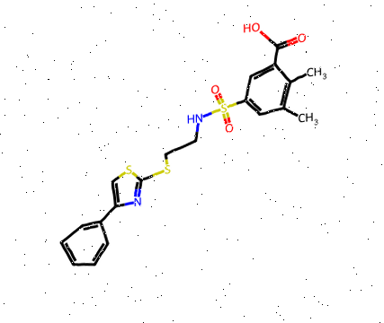 Cc1cc(S(=O)(=O)NCCSc2nc(-c3ccccc3)cs2)cc(C(=O)O)c1C